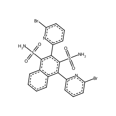 NS(=O)(=O)c1c(-c2cccc(Br)n2)c(S(N)(=O)=O)c2ccccc2c1-c1cccc(Br)n1